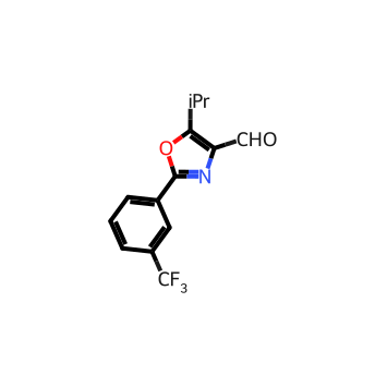 CC(C)c1oc(-c2cccc(C(F)(F)F)c2)nc1C=O